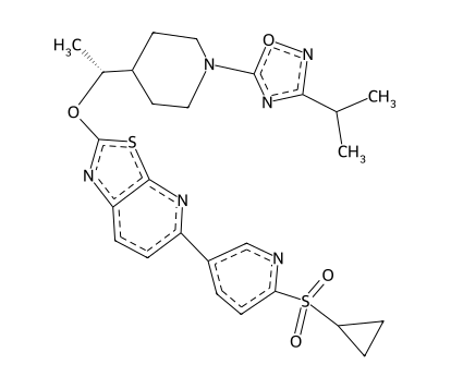 CC(C)c1noc(N2CCC([C@@H](C)Oc3nc4ccc(-c5ccc(S(=O)(=O)C6CC6)nc5)nc4s3)CC2)n1